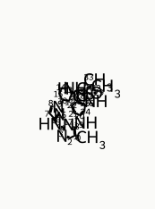 Cc1cnc(Nc2ccn(C3CCNCC3)n2)nc1Nc1ccc(Cl)c(NS(=O)(=O)C(C)(C)C)c1